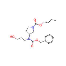 CCCCOC(=O)N1CCC(N(CCCO)C(=O)OCc2ccccc2)C1